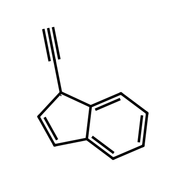 C#C[C]1C=Cc2ccccc21